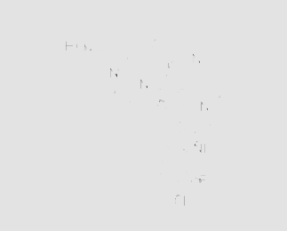 O=C(CN1CCc2nc3ccccc3c(C(=O)N3CCN(CCO)CC3)c2C1)Nc1cccc(Cl)c1F